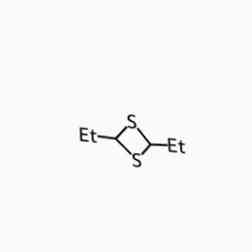 CCC1SC(CC)S1